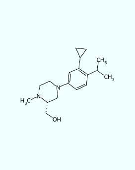 CC(C)c1ccc(N2CCN(C)[C@@H](CO)C2)cc1C1CC1